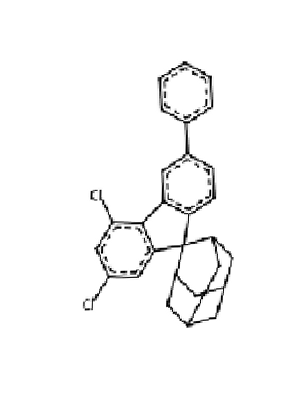 Clc1cc(Cl)c2c(c1)C1(c3ccc(-c4ccccc4)cc3-2)C2CC3CC(C2)CC1C3